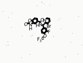 O=C(NC(c1ccc(OC(F)(F)F)c(F)c1)c1ncccc1Br)c1ccc2oc(=O)[nH]c2c1